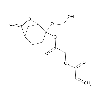 C=CC(=O)OCC(=O)OC1(OCO)CCC2CC1OC2=O